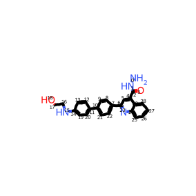 NNC(=O)c1cc(-c2ccc(-c3ccc(NCCO)cc3)cc2)nc2ccccc12